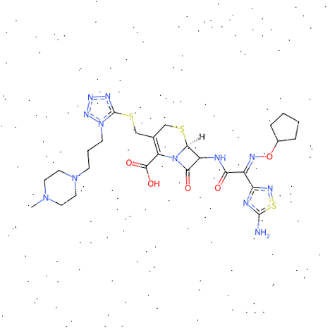 CN1CCN(CCCn2nnnc2SCC2=C(C(=O)O)N3C(=O)C(NC(=O)C(=NOC4CCCC4)c4nsc(N)n4)[C@@H]3SC2)CC1